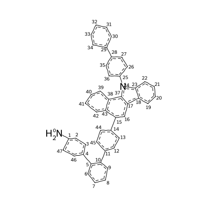 Nc1ccc(-c2ccccc2-c2ccc(-c3cc4c5ccccc5n(-c5ccc(-c6ccccc6)cc5)c4c4ccccc34)cc2)cc1